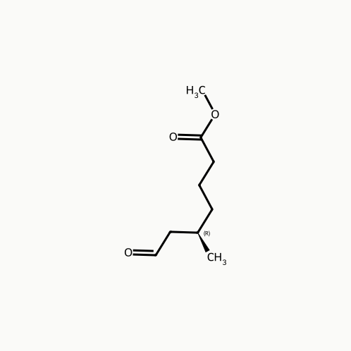 COC(=O)CCC[C@@H](C)CC=O